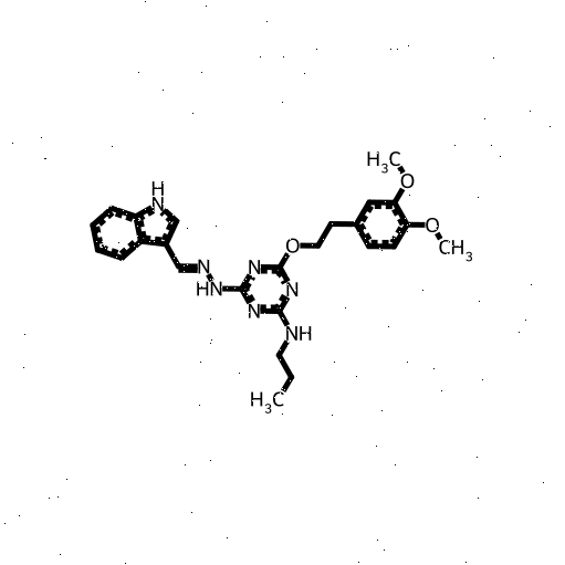 CCCNc1nc(N/N=C/c2c[nH]c3ccccc23)nc(OCCc2ccc(OC)c(OC)c2)n1